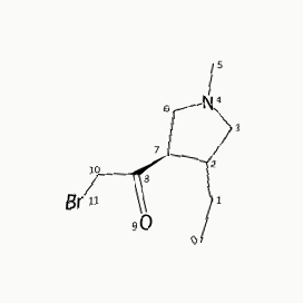 CCC1CN(C)C[C@@H]1C(=O)CBr